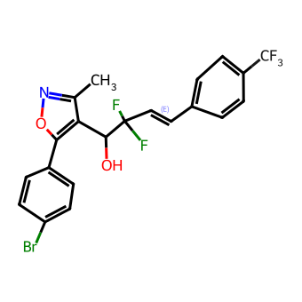 Cc1noc(-c2ccc(Br)cc2)c1C(O)C(F)(F)/C=C/c1ccc(C(F)(F)F)cc1